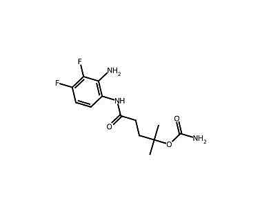 CC(C)(CCC(=O)Nc1ccc(F)c(F)c1N)OC(N)=O